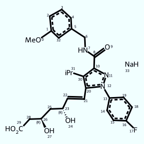 COc1cccc(CNC(=O)c2nn(-c3ccc(F)cc3)c(C=C[C@H](O)C[C@@H](O)CC(=O)O)c2C(C)C)c1.[NaH]